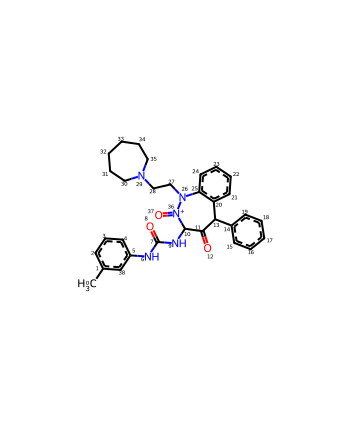 Cc1cccc(NC(=O)NC2C(=O)C(c3ccccc3)c3ccccc3N(CCN3CCCCCC3)[N+]2=O)c1